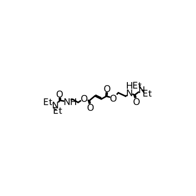 CCN(CC)C(=O)NCCOC(=O)/C=C/C(=O)OCCNC(=O)N(CC)CC